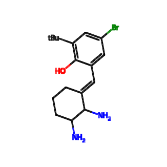 CC(C)(C)c1cc(Br)cc(C=C2CCCC(N)C2N)c1O